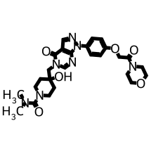 CN(C)C(=O)N1CCC(O)(Cn2cnc3c(cnn3-c3ccc(OCC(=O)N4CCOCC4)cc3)c2=O)CC1